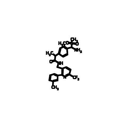 Cc1cccc(-c2nc(C(F)(F)F)ccc2CNC(=O)C(C)c2ccc(C(N)S(C)(=O)=O)c(C)c2)c1